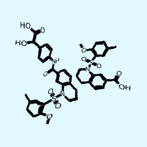 COc1ccc(C)cc1S(=O)(=O)N1CCCc2ccc(C(=O)Nc3ccc(C(O)C(=O)O)cc3)cc21.COc1ccc(C)cc1S(=O)(=O)N1CCCc2ccc(C(=O)O)cc21